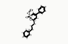 CCOP1(=O)C=C(c2ccccc2)C=C(CCCc2ccccc2)O1